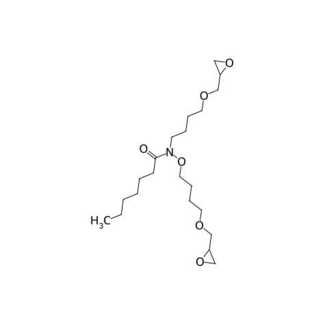 CCCCCCC(=O)N(CCCCOCC1CO1)OCCCCOCC1CO1